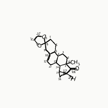 CC12CCC3C4CCC5(CC4=CCC3C1C1C[C@H]1C2=O)OCCO5